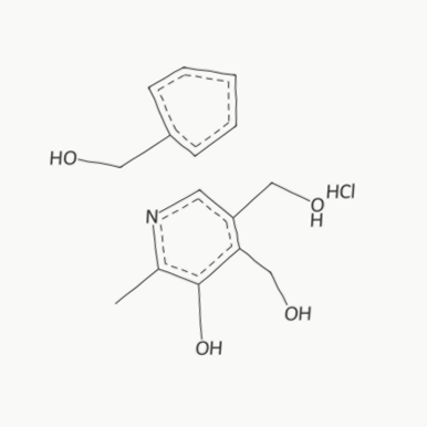 Cc1ncc(CO)c(CO)c1O.Cl.OCc1ccccc1